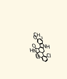 COc1ccc2[nH]c3c(c2c1)C1C(=O)NC(=O)C1C(c1c(Cl)cccc1Cl)C3